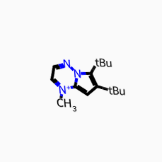 C[n+]1ccnn2c(C(C)(C)C)c(C(C)(C)C)cc21